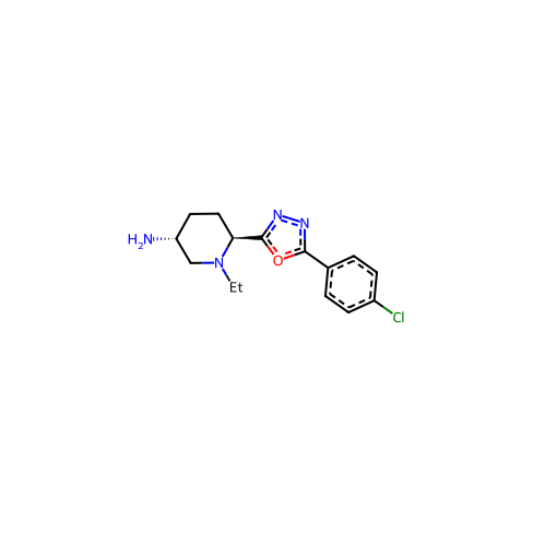 CCN1C[C@H](N)CC[C@H]1c1nnc(-c2ccc(Cl)cc2)o1